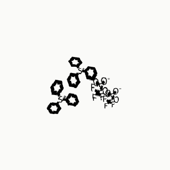 O=S(=O)([O-])C(F)(F)F.O=S(=O)([O-])C(F)(F)F.c1ccc([S+](c2ccccc2)c2ccccc2)cc1.c1ccc([S+](c2ccccc2)c2ccccc2)cc1